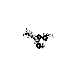 COc1cc(F)cc(-c2ccc3c(c2)N(S(=O)(=O)c2cccc(C(F)(F)F)c2)C[C@H](CNC(=O)[C@@](C)(O)C(F)(F)F)O3)c1F